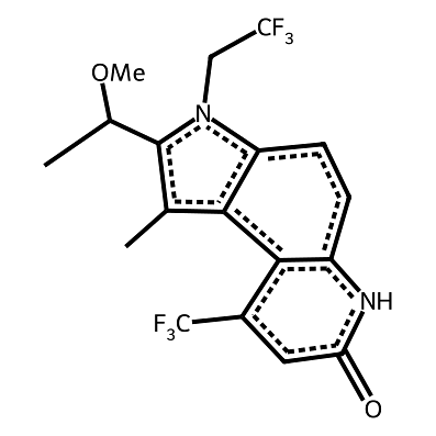 COC(C)c1c(C)c2c3c(C(F)(F)F)cc(=O)[nH]c3ccc2n1CC(F)(F)F